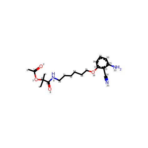 CC(=O)OC(C)(C)C(=O)NCCCCCCOc1cccc(N)c1C#N